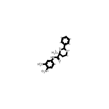 Cc1cc(NC(=O)[C@]2(C)CCOC(c3ccccc3)O2)ccc1[N+](=O)[O-]